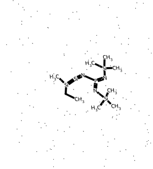 CC[Si](C)=[Si]=NP(=N[Si](C)(C)C)=N[Si](C)(C)C